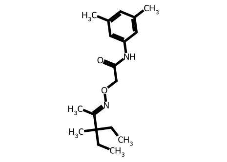 CCC(C)(CC)/C(C)=N/OCC(=O)Nc1cc(C)cc(C)c1